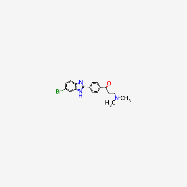 CN(C)C=CC(=O)c1ccc(-c2nc3ccc(Br)cc3[nH]2)cc1